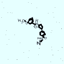 CCOc1cccc([C@@H](C)NC2CC[C@H](c3ccc(C(=O)NCC#N)cc3)C2)c1